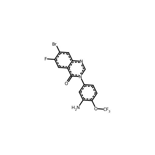 Nc1cc(-n2cnc3cc(Br)c(F)cc3c2=O)ccc1OC(F)(F)F